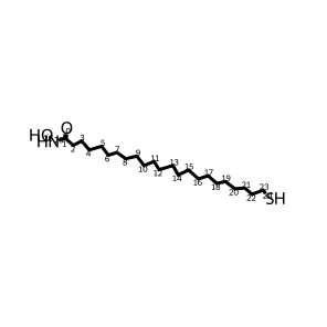 O=C(CCCCCCCCCCCCCCCCCCCCCCS)NO